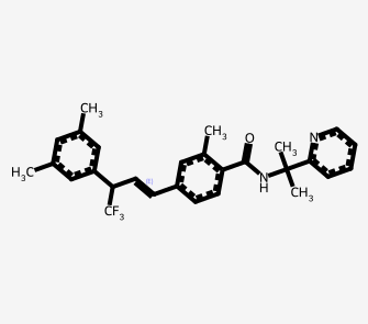 Cc1cc(C)cc(C(/C=C/c2ccc(C(=O)NC(C)(C)c3ccccn3)c(C)c2)C(F)(F)F)c1